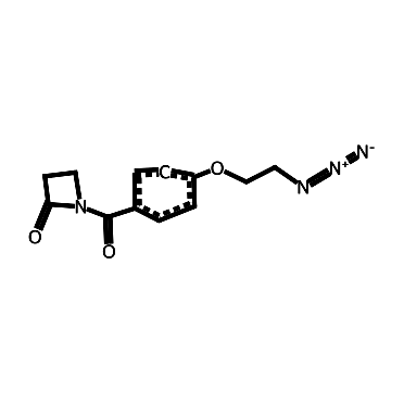 [N-]=[N+]=NCCOc1ccc(C(=O)N2CCC2=O)cc1